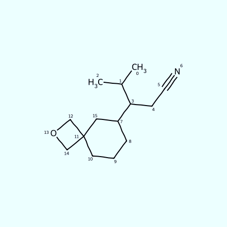 CC(C)C(CC#N)C1CCCC2(COC2)C1